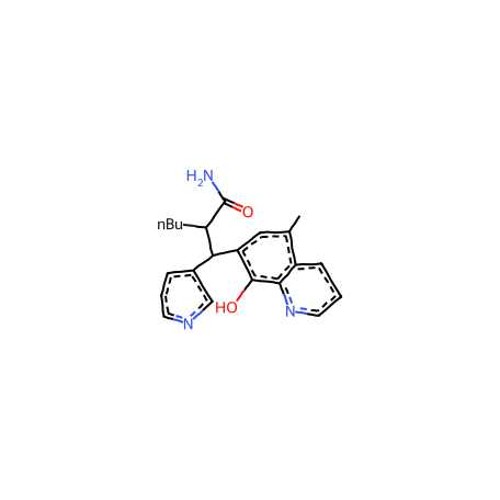 CCCCC(C(N)=O)C(c1cccnc1)c1cc(C)c2cccnc2c1O